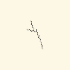 CCCCCCCCCCCC(C)CC(CCCC)CCCCCC